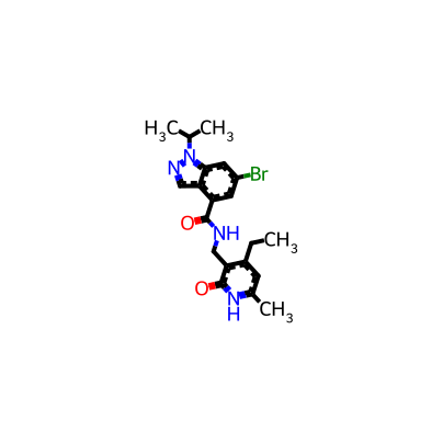 CCc1cc(C)[nH]c(=O)c1CNC(=O)c1cc(Br)cc2c1cnn2C(C)C